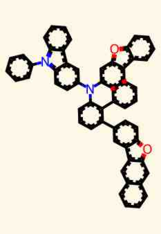 c1ccc(-c2c(-c3ccc4oc5cc6ccccc6cc5c4c3)cccc2N(c2ccc3c(c2)oc2ccccc23)c2ccc3c(c2)c2ccccc2n3-c2ccccc2)cc1